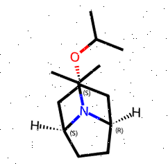 CC(C)O[C@@H]1C[C@H]2CC[C@@H](C1)N2C(C)C